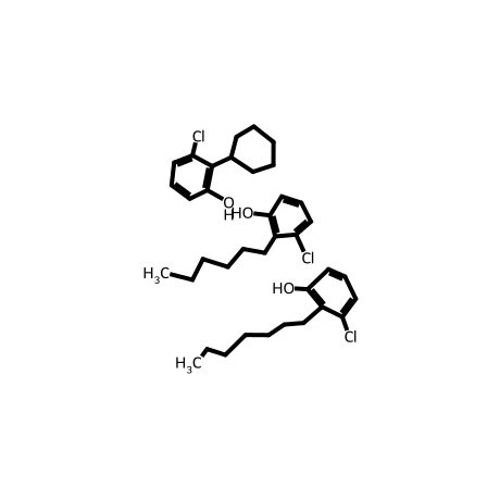 CCCCCCCc1c(O)cccc1Cl.CCCCCCc1c(O)cccc1Cl.Oc1cccc(Cl)c1C1CCCCC1